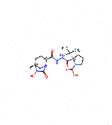 CC(C)(C)[C@]1(C(=O)NNC(=O)[C@@H]2CC[C@@H]3CN2C(=O)N3O)CCCN1C(=O)O